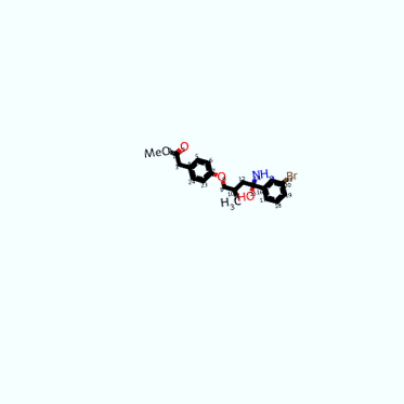 COC(=O)Cc1ccc(OCC(C)CC(N)(O)c2cccc(Br)c2)cc1